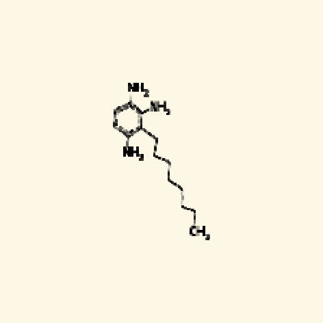 CCCCCCCCc1c(N)ccc(N)c1N